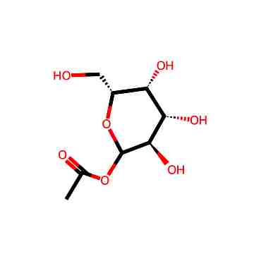 CC(=O)OC1O[C@H](CO)[C@H](O)[C@H](O)[C@H]1O